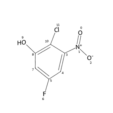 O=[N+]([O-])c1cc(F)cc(O)c1Cl